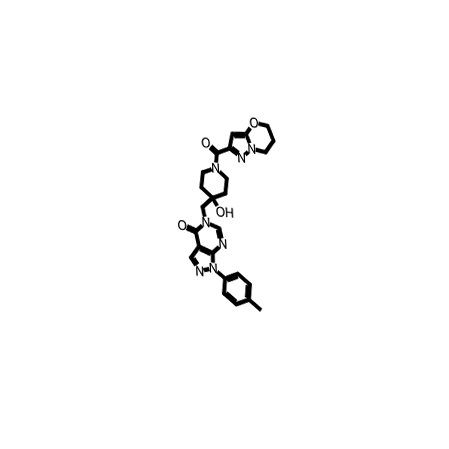 Cc1ccc(-n2ncc3c(=O)n(CC4(O)CCN(C(=O)c5cc6n(n5)CCCO6)CC4)cnc32)cc1